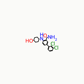 NC(=O)c1cc(-c2cccc(Cl)c2Cl)ccc1N[C@H]1CC[C@H](O)CC1